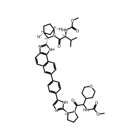 COC(=O)NC(C(=O)N1CCC[C@H]1c1ncc(-c2ccc(-c3ccc4c(ccc5nc([C@@H]6[C@H]7CC[C@H](C7)N6C(=O)[C@@H](NC(=O)OC)C(C)C)[nH]c54)c3)cc2)[nH]1)C1CCOCC1